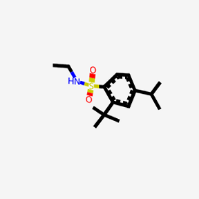 CCNS(=O)(=O)c1ccc(C(C)C)cc1C(C)(C)C